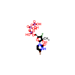 C[C@@]1(O)C(F)[C@@H](COP(=O)(O)OP(=O)(O)OP(=O)(O)O)O[C@H]1n1ccc(=S)[nH]c1=O